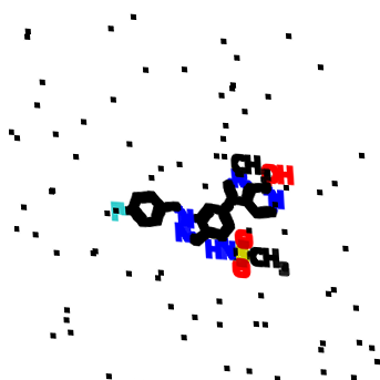 Cn1cc(-c2cc(NS(C)(=O)=O)c3cnn(Cc4ccc(F)cc4)c3c2)c2ccnc(O)c21